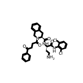 NCC[C@H](NC(=O)[C@@H]1Cc2ccccc2CN1C(=O)CCC(=O)c1ccccc1)C(=O)Nc1c(Cl)cccc1Cl